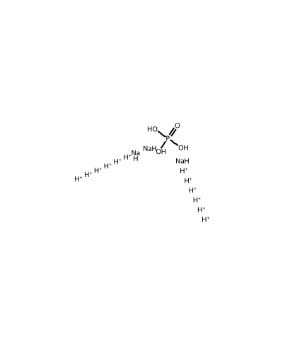 O=P(O)(O)O.[H+].[H+].[H+].[H+].[H+].[H+].[H+].[H+].[H+].[H+].[H+].[H+].[NaH].[NaH].[NaH]